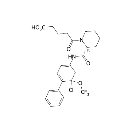 O=C(O)CCCC(=O)N1CCCC[C@@H]1C(=O)NC1=CC=C(c2ccccc2)C(Cl)(OC(F)(F)F)C1